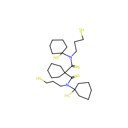 S=C(N(CCCS)C1(S)CCCCC1)C1(C(=S)N(CCCS)C2(S)CCCCC2)CCCCC1